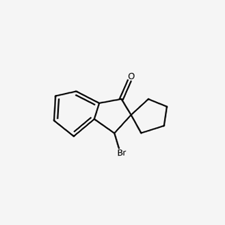 O=C1c2ccccc2C(Br)C12CCCC2